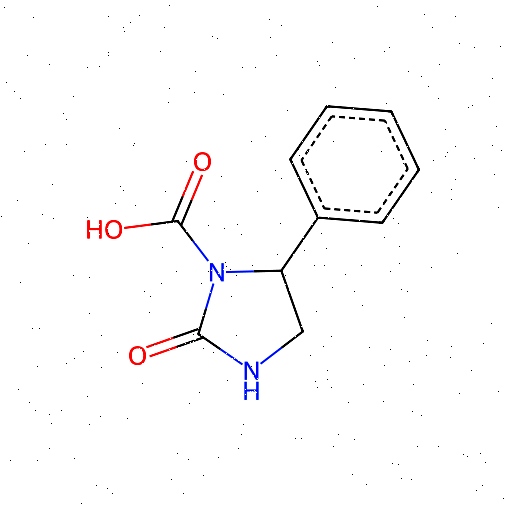 O=C(O)N1C(=O)NCC1c1ccccc1